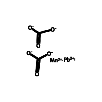 O=C([O-])[O-].O=C([O-])[O-].[Mn+2].[Pb+2]